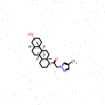 C[C@]12CC[C@@H](O)C[C@@H]1CC[C@@H]1[C@@H]2CC[C@]2(C)[C@@H](C(=O)Cn3cc(C(F)(F)F)cn3)CCC[C@@H]12